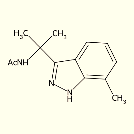 CC(=O)NC(C)(C)c1n[nH]c2c(C)cccc12